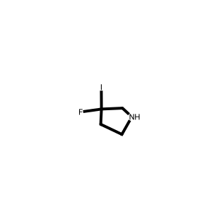 FC1(I)CCNC1